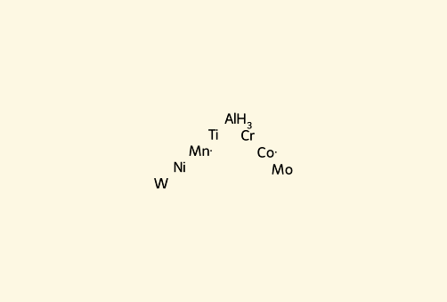 [AlH3].[Co].[Cr].[Mn].[Mo].[Ni].[Ti].[W]